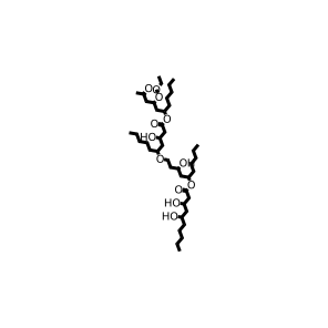 CCCCCC(O)CC(O)CC(=O)OC(CCCCC)CC(O)CCOC(CCCCC)CC(O)CC(=O)OC(CCCCC)CC(CC(C)=O)OOCC